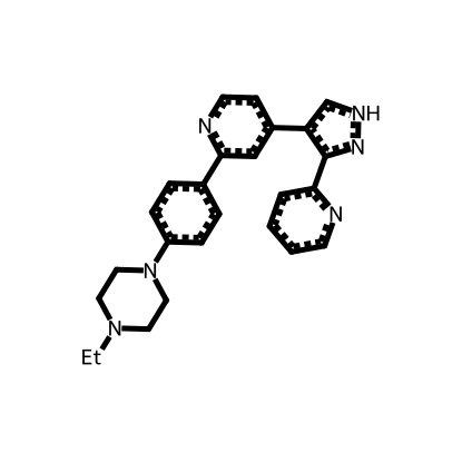 CCN1CCN(c2ccc(-c3cc(-c4c[nH]nc4-c4ccccn4)ccn3)cc2)CC1